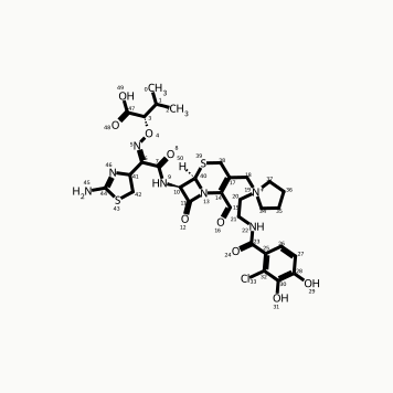 CC(C)[C@H](O/N=C(\C(=O)N[C@@H]1C(=O)N2C(C=O)=C(C[N+]3(CCNC(=O)c4ccc(O)c(O)c4Cl)CCCC3)CS[C@H]12)C1CSC(N)=N1)C(=O)O